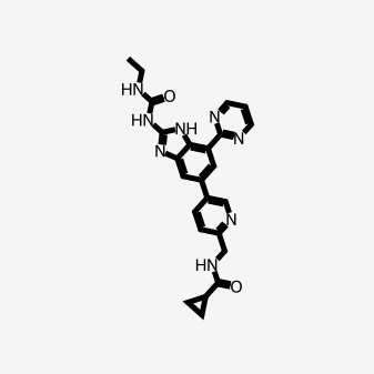 CCNC(=O)Nc1nc2cc(-c3ccc(CNC(=O)C4CC4)nc3)cc(-c3ncccn3)c2[nH]1